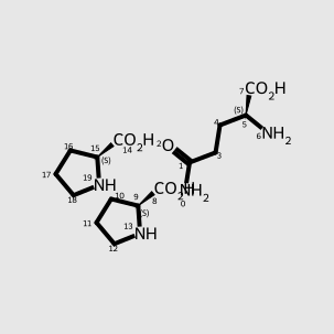 NC(=O)CC[C@H](N)C(=O)O.O=C(O)[C@@H]1CCCN1.O=C(O)[C@@H]1CCCN1